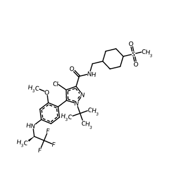 COc1cc(N[C@H](C)C(F)(F)F)ccc1-c1c(Cl)c(C(=O)NCC2CCC(S(C)(=O)=O)CC2)nn1C(C)(C)C